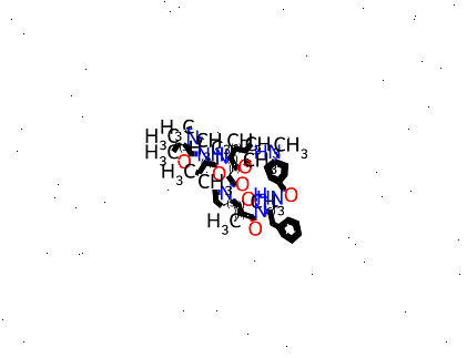 CC[C@H](C)[C@@H]([C@@H](CC(=O)N1CCC[C@H]1[C@H](OC)[C@@H](C)C(=O)N[C@H](CNC(=O)c1ccc(NC)cc1)Cc1ccccc1)OC)N(C)C(=O)[C@@H](NC(=O)[C@H](C(C)C)N(C)C)C(C)C